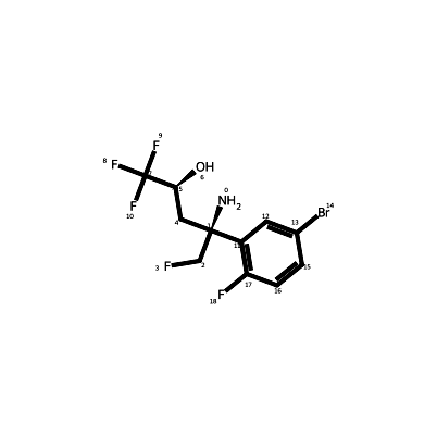 N[C@@](CF)(C[C@H](O)C(F)(F)F)c1cc(Br)ccc1F